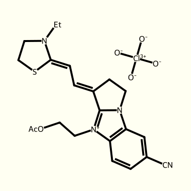 CCN1CCSC1=CC=C1CCn2c1[n+](CCOC(C)=O)c1ccc(C#N)cc12.[O-][Cl+3]([O-])([O-])[O-]